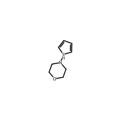 C1=C[SH](N2CCOCC2)C=C1